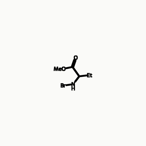 CCC(NBr)C(=O)OC